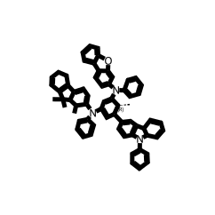 CC1C(N(C2=CC(c3ccc4c(c3)C3C=CC=CC3N4c3ccccc3)[C@@H](C)C(N(c3ccccc3)c3ccc4c(c3)oc3ccccc34)=C2)c2ccccc2)=CC=C2C3=C(C=CCC3)C(C)(C)C21